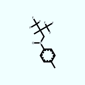 Cc1ccc([S+]([O-])CC(C)(C(F)(F)F)C(F)(F)F)cc1